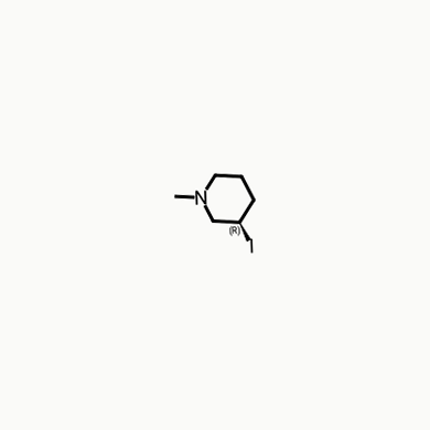 CN1CCC[C@@H](I)C1